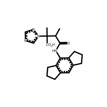 CC(C(=O)Nc1c2c(cc3c1CCC3)CCC2)C(C)(C(=O)O)n1cncn1